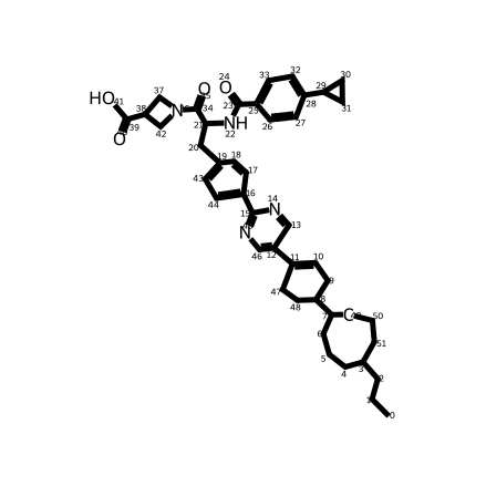 CCCC1CCCC(C2CC=C(c3cnc(-c4ccc(CC(NC(=O)c5ccc(C6CC6)cc5)C(=O)N5CC(C(=O)O)C5)cc4)nc3)CC2)CCC1